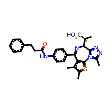 Cc1sc2c(c1C)C(c1ccc(NC(=O)CCc3ccccc3)cc1)=NC([C@H](C)C(=O)O)c1nnc(C)n1-2